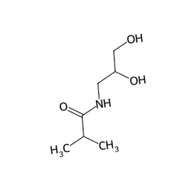 CC(C)C(=O)NCC(O)CO